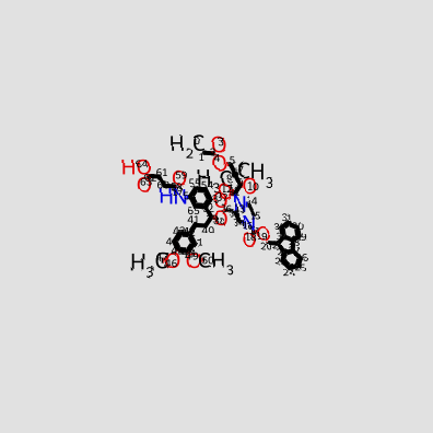 C=CC(=O)OCC(C)(C)C(=O)C(=O)N1CCN(C(=O)OCC2c3ccccc3-c3ccccc32)C[C@H]1C(=O)OC(CCc1ccc(OC)c(OC)c1)c1cccc(NC(=O)CCC(=O)O)c1